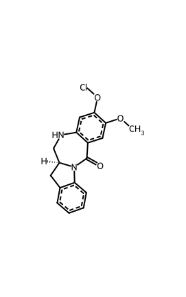 COc1cc2c(cc1OCl)NC[C@@H]1Cc3ccccc3N1C2=O